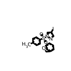 Cc1ccc(S(=O)(=O)n2cc(I)cn2)cc1.c1cc2cc(c1)OC2